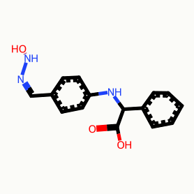 O=C(O)C(Nc1ccc(/C=N\NO)cc1)c1ccccc1